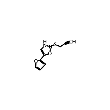 C#CCSN1NC=C(c2ccco2)O1